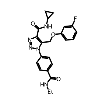 CCNC(=O)c1ccc(-n2nnc(C(=O)NC3CC3)c2COc2cccc(F)c2)cc1